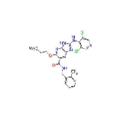 COCCOc1nc2[nH]c(Nc3c(Cl)cncc3Cl)nc2cc1C(=O)NCc1ccccc1C(F)(F)F